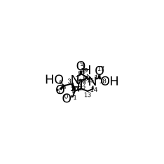 O=CC1=C(C(=O)O)N2C(=O)[C@@H]3[C@H]2C1CCN3C(=O)O